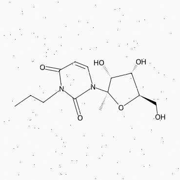 CCCn1c(=O)ccn([C@]2(C)O[C@H](CO)[C@@H](O)[C@H]2O)c1=O